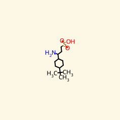 CC(C)(C)C1CCC(C(N)CCS(=O)(=O)O)CC1